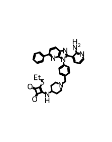 CCSc1c(NC2CCN(Cc3ccc(-n4c(-c5cccnc5N)nc5ccc(-c6ccccc6)nc54)cc3)CC2)c(=O)c1=O